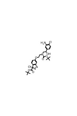 CC(C)(C)OC(=O)N(CCOc1ccc2c(c1)N=N[C@]2(Cl)C(=O)OC(C)(C)C)CC(O)c1ccc(Cl)c(N)c1